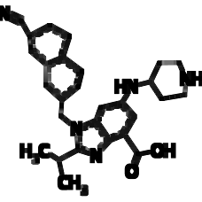 CC(C)c1nc2c(C(=O)O)cc(NC3CCNCC3)cc2n1Cc1ccc2ccc(C#N)cc2c1